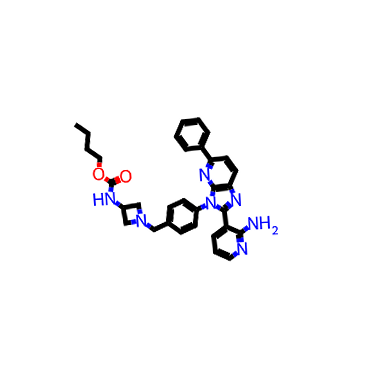 CCCCOC(=O)NC1CN(Cc2ccc(-n3c(-c4cccnc4N)nc4ccc(-c5ccccc5)nc43)cc2)C1